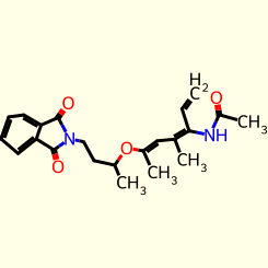 C=C/C(NC(C)=O)=C(C)\C=C(/C)OC(C)CCN1C(=O)c2ccccc2C1=O